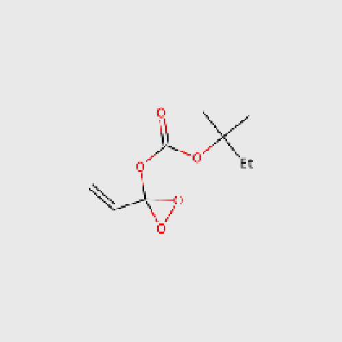 C=CC1(OC(=O)OC(C)(C)CC)OO1